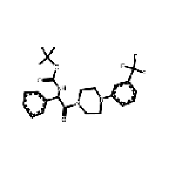 CC(C)(C)OC(=O)NC(C(=O)N1CCN(c2cccc(C(F)(F)F)c2)CC1)c1ccccc1